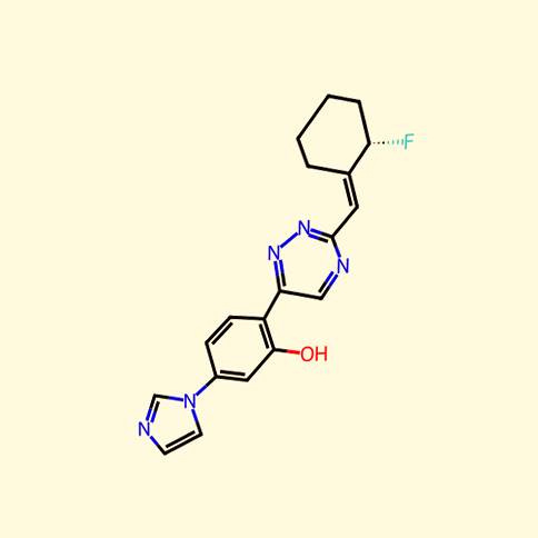 Oc1cc(-n2ccnc2)ccc1-c1cnc(/C=C2\CCCC[C@@H]2F)nn1